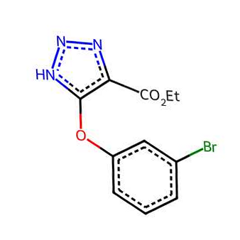 CCOC(=O)c1nn[nH]c1Oc1cccc(Br)c1